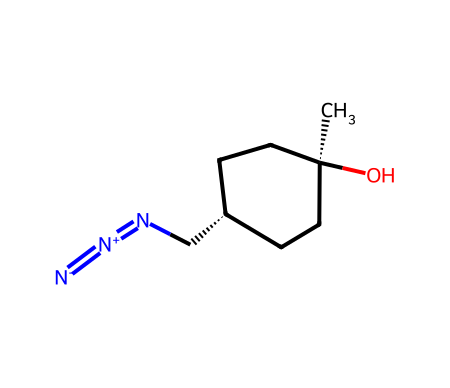 C[C@]1(O)CC[C@H](CN=[N+]=[N-])CC1